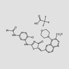 CC(C)C(=O)Nc1ccc(Cl)c(NC2=NC(=O)C(=Cc3ccc4ncc(C(=O)O)c(N5CCOCC5)c4c3)S2)c1.O=C(O)C(F)(F)F